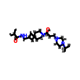 CC(C)C(=O)NCC1CC2(CCN(C(=O)CCN3CCN(C(C)C)CC3)CC2)C1